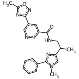 Cc1nc(-c2cncc(C(=O)NCC(C)c3cn(C)c(-c4ccccc4)n3)c2)no1